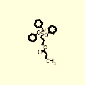 CC=CC(=O)OCCC[Si](Oc1ccccc1)(Oc1ccccc1)Oc1ccccc1